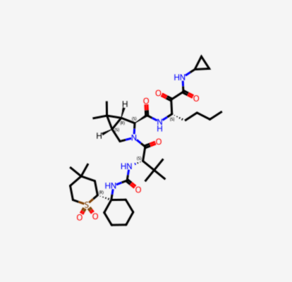 CCCC[C@H](NC(=O)[C@@H]1[C@@H]2[C@H](CN1C(=O)[C@@H](NC(=O)NC1([C@H]3CC(C)(C)CCS3(=O)=O)CCCCC1)C(C)(C)C)C2(C)C)C(=O)C(=O)NC1CC1